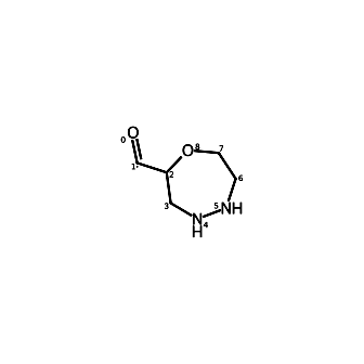 O=[C]C1CNNCCO1